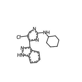 Clc1cnc(NC2CCCCC2)nc1-c1n[nH]c2ccccc12